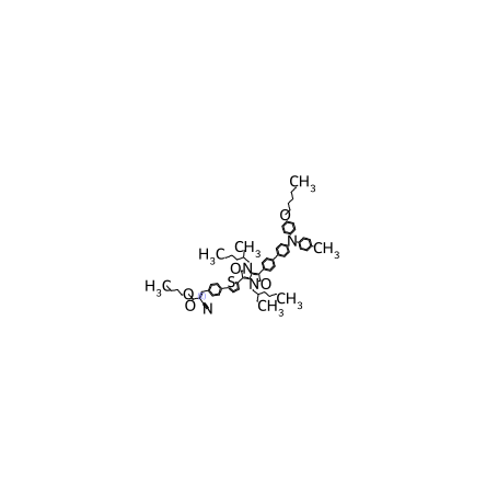 CCCCCCOc1ccc(N(c2ccc(C)cc2)c2ccc(-c3ccc(C4=C5C(=C(c6ccc(-c7ccc(/C=C(\C#N)C(=O)OCCCC)cc7)s6)C(=O)N5CC(CC)CCCC)N(CC(CC)CCCC)C4=O)cc3)cc2)cc1